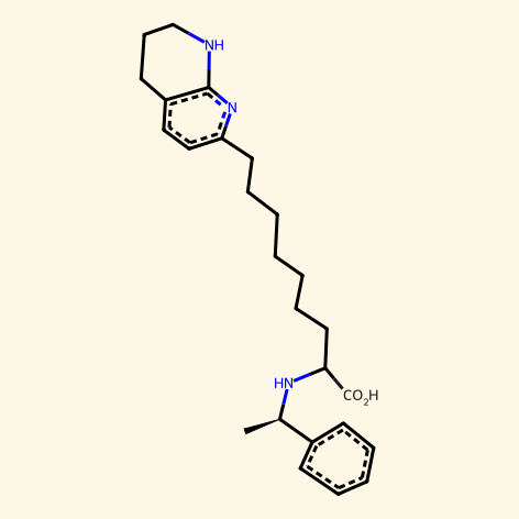 C[C@@H](NC(CCCCCCCc1ccc2c(n1)NCCC2)C(=O)O)c1ccccc1